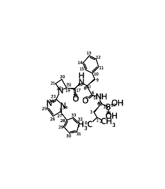 CC(C)C[C@@H](NC(=O)[C@H](Cc1ccccc1)NC(=O)[C@@H]1CCN1c1nccc(-c2ccccc2)n1)B(O)O